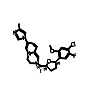 COc1cc(Cl)c(F)cc1[C@H]1CC[C@@H]([C@H](C)N2C=C3C=CC(n4cnc(C)c4)=CN3CC2)O1